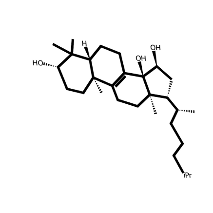 CC(C)CCC[C@@H](C)[C@H]1C[C@H](O)[C@@]2(O)C3=C(CC[C@]12C)[C@@]1(C)CC[C@H](O)C(C)(C)[C@@H]1CC3